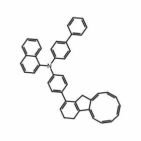 C1=C(c2ccc(N(c3ccc(-c4ccccc4)cc3)c3cccc4ccccc34)cc2)C2=C(CC1)c1ccccccccc1C2